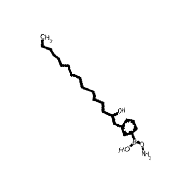 CCCCCCCCCCCCCCC(O)Cc1cccc(B(O)ON)c1